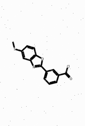 CSc1ccc2oc(-c3cccc(C(=O)Cl)c3)nc2c1